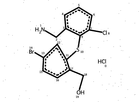 Cl.NCc1cccc(Cl)c1Sc1cc(Br)ccc1CO